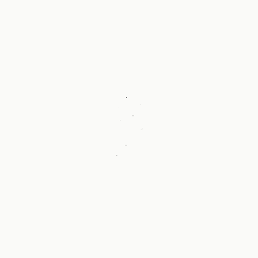 CC[C]1CC2CC1C1CCCC21